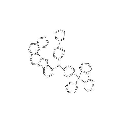 c1ccc(-c2ccc(N(c3ccc(C4(c5ccccc5)c5ccccc5-c5ccccc54)cc3)c3cccc4c3sc3c4ccc4ccc5ccccc5c43)cc2)cc1